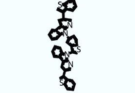 c1ccc2c(-c3cnc4c(c3)c3ccccc3n4-c3ccc4scc(-n5c6ccccc6c6cc(-c7csc8ccccc78)cnc65)c4c3)csc2c1